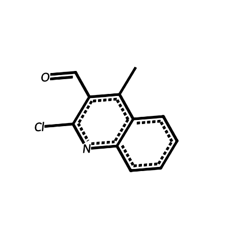 Cc1c(C=O)c(Cl)nc2ccccc12